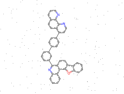 c1cc(-c2ccc(-c3ccnc4c3ccc3cccnc34)cc2)cc(-c2nc3ccccc3c3c2ccc2c4ccccc4oc23)c1